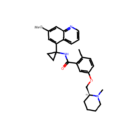 COc1cc(C2(NC(=O)c3cc(OC[C@@H]4CCCCN4C)ccc3C)CC2)c2cccnc2c1